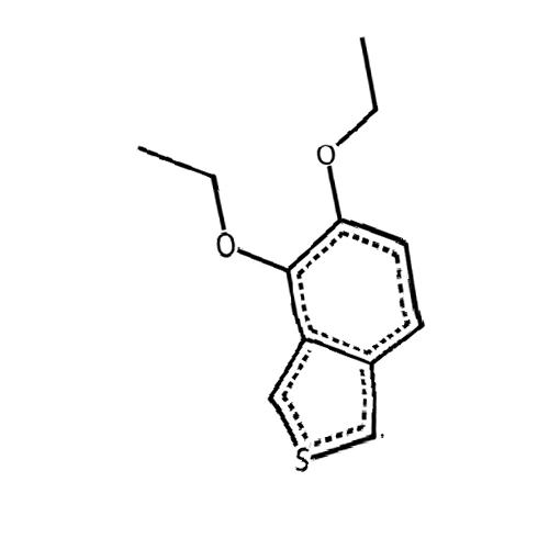 CCOc1ccc2[c]scc2c1OCC